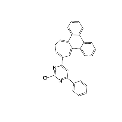 Clc1nc(C2=CCC=c3c(c4ccccc4c4ccccc34)=C2)cc(-c2ccccc2)n1